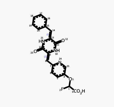 O=C(O)C(F)Oc1ccc(/C=c2\[nH]c(=O)/c(=C/c3ccccc3)[nH]c2=O)nc1